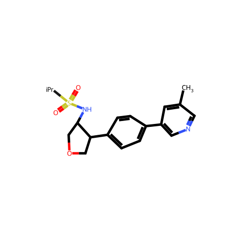 Cc1cncc(-c2ccc(C3COCC3NS(=O)(=O)C(C)C)cc2)c1